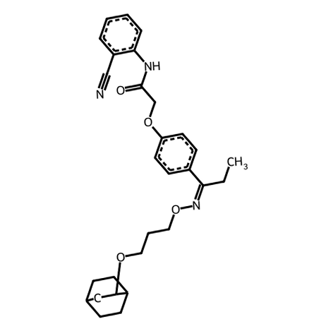 CCC(=NOCCCOC1CC2CCC1CC2)c1ccc(OCC(=O)Nc2ccccc2C#N)cc1